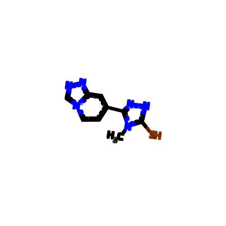 Cn1c(S)nnc1-c1ccn2cnnc2c1